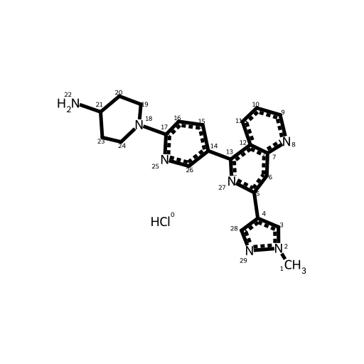 Cl.Cn1cc(-c2cc3ncccc3c(-c3ccc(N4CCC(N)CC4)nc3)n2)cn1